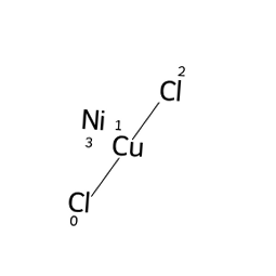 [Cl][Cu][Cl].[Ni]